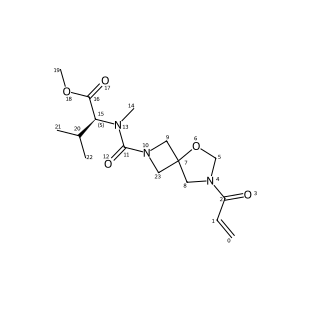 C=CC(=O)N1COC2(C1)CN(C(=O)N(C)[C@H](C(=O)OC)C(C)C)C2